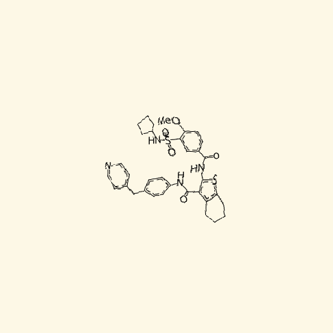 COc1ccc(C(=O)Nc2sc3c(c2C(=O)Nc2ccc(Cc4ccncc4)cc2)CCCC3)cc1S(=O)(=O)NC1CCCC1